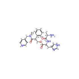 CCN(Cc1ccncc1)C(=O)C(COC(=O)C(Cc1c[nH]cn1)NC(=O)C(C)N)c1ccccc1